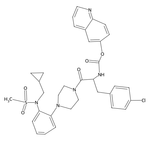 CS(=O)(=O)N(CC1CC1)c1ccccc1N1CCN(C(=O)C(Cc2ccc(Cl)cc2)NC(=O)Oc2ccc3ncccc3c2)CC1